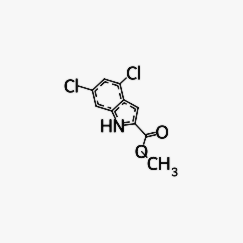 COC(=O)c1cc2c(Cl)cc(Cl)cc2[nH]1